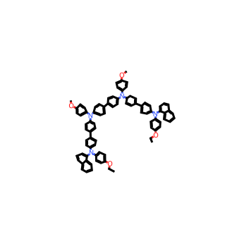 CCOc1ccc(N(c2ccc(C3=CCC(N(c4ccc(OC)cc4)c4ccc(-c5ccc(N(c6ccc(OC)cc6)c6ccc(-c7ccc(N(c8ccc(OCC)cc8)c8cccc9ccccc89)cc7)cc6)cc5)cc4)C=C3)cc2)c2cccc3ccccc23)cc1